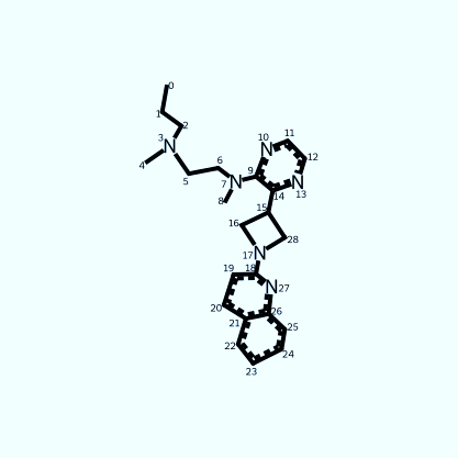 CCCN(C)CCN(C)c1nccnc1C1CN(c2ccc3ccccc3n2)C1